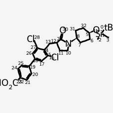 CC(C)(C)[Si](C)(C)O[C@H]1CC[C@@H](N2CCC(Cc3c(Cl)cc(-c4ccc(C(=O)O)cc4)cc3Cl)C2=O)CC1